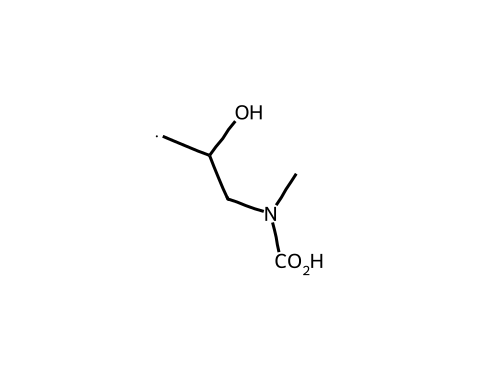 [CH2]C(O)CN(C)C(=O)O